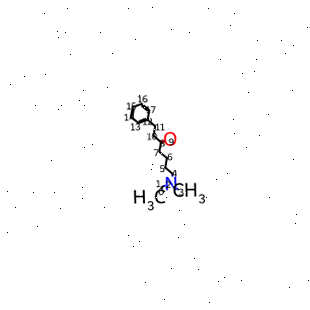 CCN(C)CCCCC(=O)CCc1ccccc1